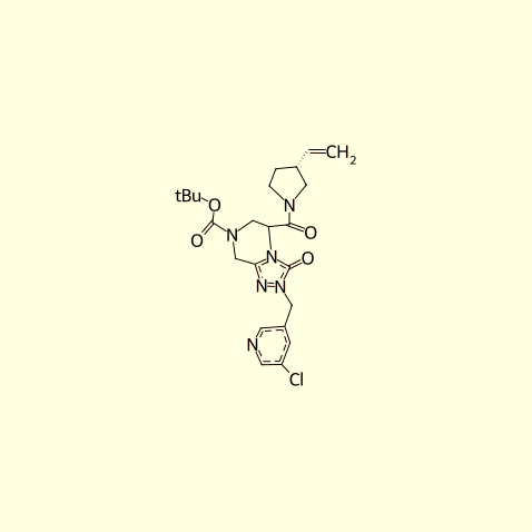 C=C[C@H]1CCN(C(=O)C2CN(C(=O)OC(C)(C)C)Cc3nn(Cc4cncc(Cl)c4)c(=O)n32)C1